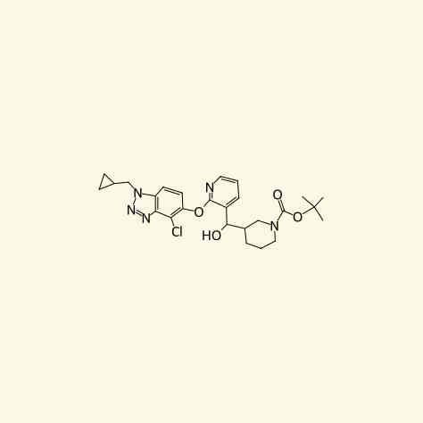 CC(C)(C)OC(=O)N1CCCC(C(O)c2cccnc2Oc2ccc3c(nnn3CC3CC3)c2Cl)C1